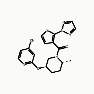 C[C@@H]1CC[C@@H](Sc2cc(C#N)ccn2)CN1C(=O)c1ccsc1-n1nccn1